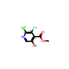 COC(=O)c1c(Br)cnc(Cl)c1F